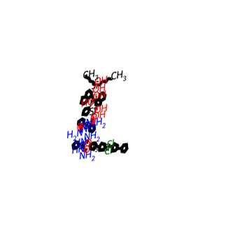 CCCCCC[Si](O)(O)CCCCCC.C[Si](NC(N)=O)(NC(N)=O)c1ccccc1.Cl[Si](Cl)(c1ccc(-c2ccccc2)cc1)c1ccc(-c2ccccc2)cc1.NC(=O)N[Si](NC(N)=O)(c1ccccc1)c1ccccc1.OC[SiH](CO)c1ccccc1.O[Si](O)(c1cccc2ccccc12)c1cccc2ccccc12